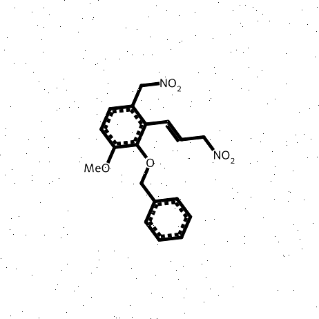 COc1ccc(C[N+](=O)[O-])c(C=CC[N+](=O)[O-])c1OCc1ccccc1